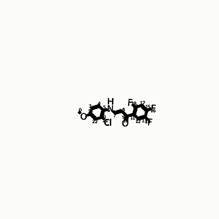 COc1ccc(N/C=C/C(=O)c2cc(F)c(F)cc2F)c(Cl)c1